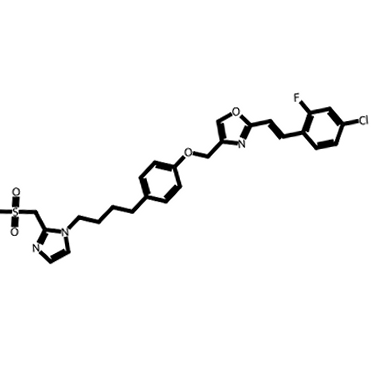 CS(=O)(=O)Cc1nccn1CCCCc1ccc(OCc2coc(C=Cc3ccc(Cl)cc3F)n2)cc1